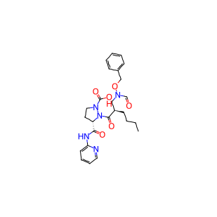 CCCC[C@H](CN(C=O)OCc1ccccc1)C(=O)N1[C@H](C(=O)Nc2ccccn2)CCN1C(=O)O